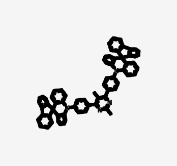 Cc1nc(-c2ccc(N3c4ccccc4C4(c5ccccc5-c5ccccc54)c4ccccc43)cc2)c(C)c(-c2ccc(N3c4ccccc4C4(c5ccccc5-c5ccccc54)c4ccccc43)cc2)n1